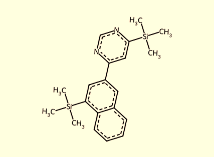 C[Si](C)(C)c1cc(-c2cc([Si](C)(C)C)c3ccccc3c2)ncn1